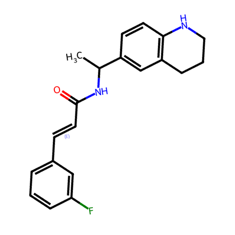 CC(NC(=O)/C=C/c1cccc(F)c1)c1ccc2c(c1)CCCN2